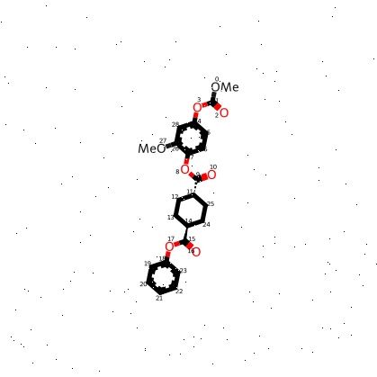 COC(=O)Oc1ccc(OC(=O)[C@H]2CC[C@H](C(=O)Oc3ccccc3)CC2)c(OC)c1